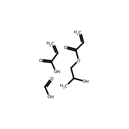 C=CC(=O)O.C=CC(=O)OCC(C)O.O=CO